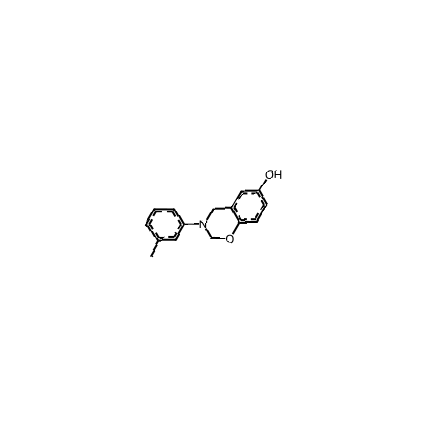 Cc1cccc(N2COc3ccc(O)cc3C2)c1